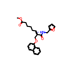 COC(=O)CCCC/C=C(\COc1cccc2ccccc12)C(=O)NCc1ccco1